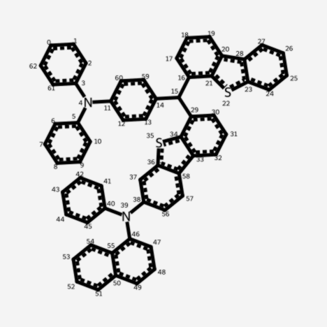 c1ccc(N(c2ccccc2)c2ccc(C(c3cccc4c3sc3ccccc34)c3cccc4c3sc3cc(N(c5ccccc5)c5cccc6ccccc56)ccc34)cc2)cc1